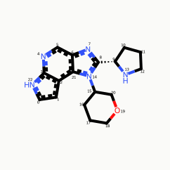 c1cc2c(ncc3nc([C@@H]4CCCN4)n(C4CCCOC4)c32)[nH]1